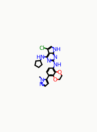 Cn1nccc1-c1ccc(Nc2nc(NC3CCCC3)c3c(Cl)c[nH]c3n2)c2c1OCCO2